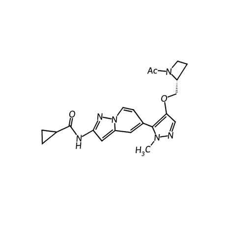 CC(=O)N1CC[C@@H]1COc1cnn(C)c1-c1ccn2nc(NC(=O)C3CC3)cc2c1